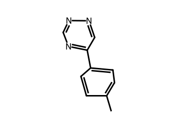 Cc1ccc(-c2cnncn2)cc1